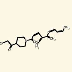 C=C(/N=C\C=C/N)C(/C=C\C(=C)N1CCC(C(=O)CCl)CC1)=C/N